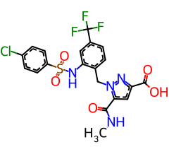 CNC(=O)c1cc(C(=O)O)nn1Cc1ccc(C(F)(F)F)cc1NS(=O)(=O)c1ccc(Cl)cc1